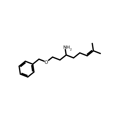 CC(C)=CCCC(N)CCOCc1ccccc1